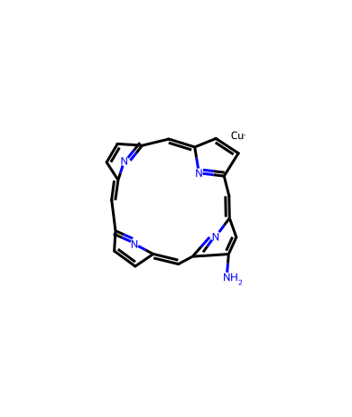 NC1=CC2=CC3=NC(=CC4=NC(=CC5=NC(=CC1=N2)C=C5)C=C4)C=C3.[Cu]